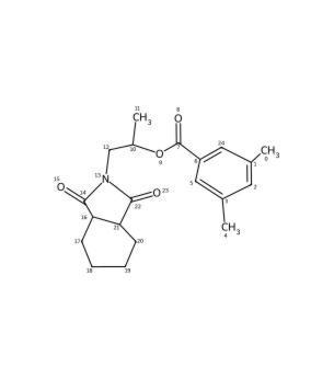 Cc1cc(C)cc(C(=O)OC(C)CN2C(=O)C3CCCCC3C2=O)c1